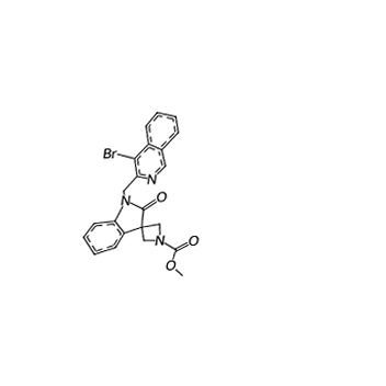 COC(=O)N1CC2(C1)C(=O)N(Cc1ncc3ccccc3c1Br)c1ccccc12